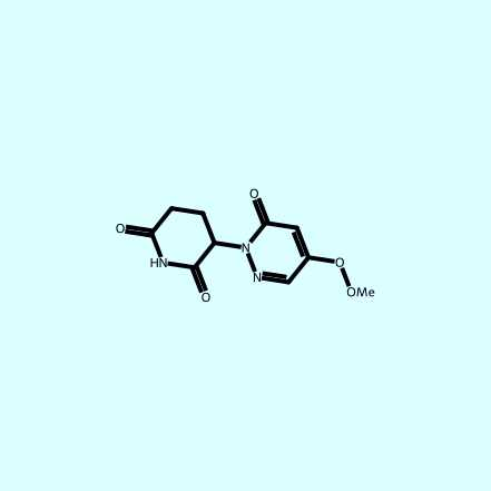 COOc1cnn(C2CCC(=O)NC2=O)c(=O)c1